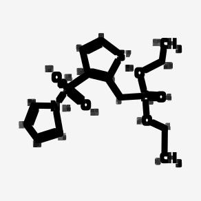 CCOP(=O)(Cc1sccc1S(=O)(=O)n1cccc1)OCC